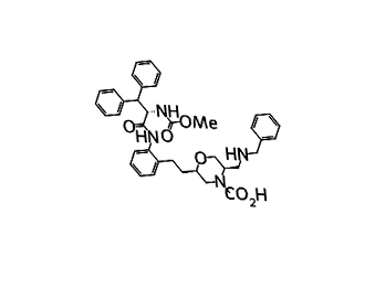 COC(=O)N[C@H](C(=O)Nc1ccccc1CC[C@@H]1CN(C(=O)O)[C@H](CNCc2ccccc2)CO1)C(c1ccccc1)c1ccccc1